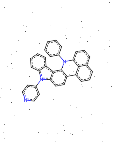 c1ccc(N2c3cccc4cccc(c34)-c3ccc4c(c32)c2ccccc2n4-c2ccncc2)cc1